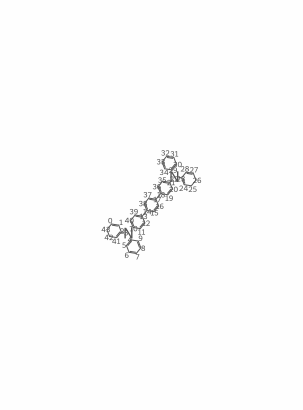 C1=CC(N(c2ccccc2)c2ccc(-c3ccc(-c4ccc(N(C5=CCCC=C5)c5ccccc5)cc4)cc3)cc2)=CCC1